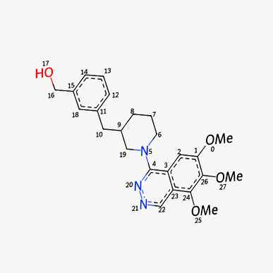 COc1cc2c(N3CCCC(Cc4cccc(CO)c4)C3)nncc2c(OC)c1OC